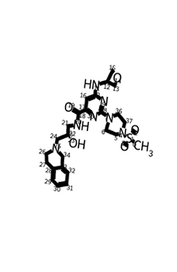 CS(=O)(=O)N1CCN(c2nc(NC3COC3)cc(C(=O)NC[C@H](O)CN3CCc4ccccc4C3)n2)CC1